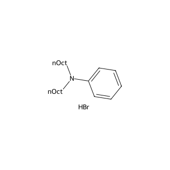 Br.CCCCCCCCN(CCCCCCCC)c1ccccc1